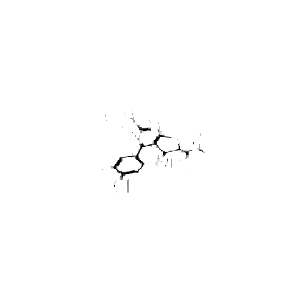 CNC(=O)C1Sc2nc(N)nc(-c3ccc(Cl)cc3)c2C1N